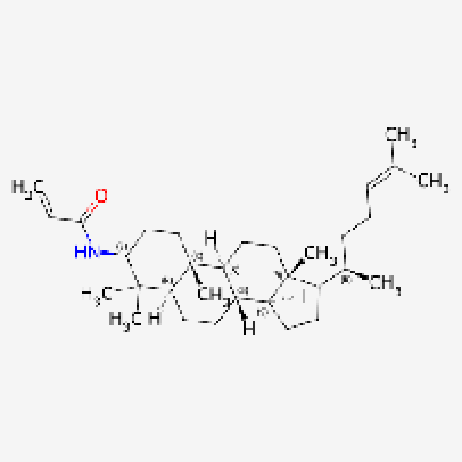 C=CC(=O)N[C@H]1CC[C@]2(C)[C@H]3CC[C@]4(C)C([C@H](C)CCC=C(C)C)CC[C@H]4[C@@H]3CC[C@H]2C1(C)C